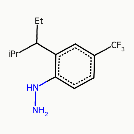 CCC(c1cc(C(F)(F)F)ccc1NN)C(C)C